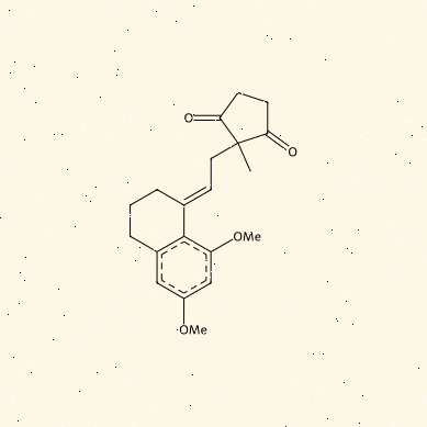 COc1cc2c(c(OC)c1)C(=CCC1(C)C(=O)CCC1=O)CCC2